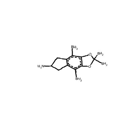 Bc1c2c(c(B)c3c1OC(B)(B)O3)CC(N)C2